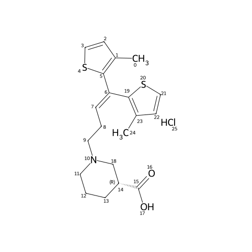 Cc1ccsc1C(=CCCN1CCC[C@@H](C(=O)O)C1)c1sccc1C.Cl